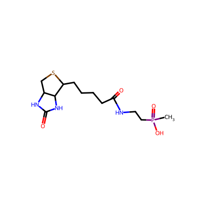 CP(=O)(O)CCNC(=O)CCCCC1SCC2NC(=O)NC21